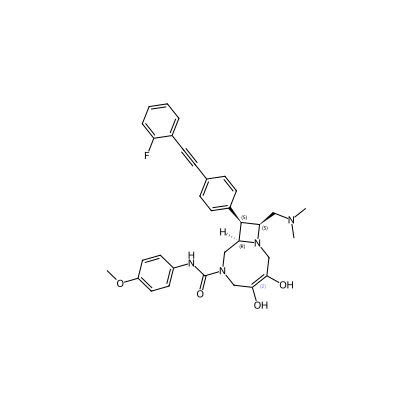 COc1ccc(NC(=O)N2C/C(O)=C(/O)CN3[C@H](CN(C)C)[C@H](c4ccc(C#Cc5ccccc5F)cc4)[C@@H]3C2)cc1